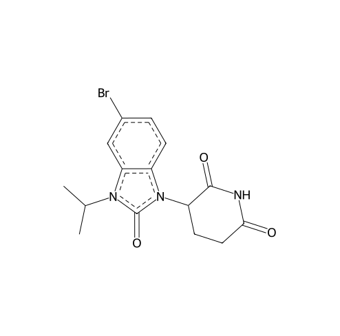 CC(C)n1c(=O)n(C2CCC(=O)NC2=O)c2ccc(Br)cc21